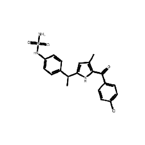 Cc1cc(C(C)c2ccc(NS(N)(=O)=O)cc2)[nH]c1C(=O)c1ccc(Cl)cc1